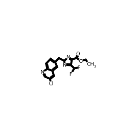 CCOC(=O)C1=NC(Cc2ccc3ncc(Cl)cc3c2)N=C1C(F)F